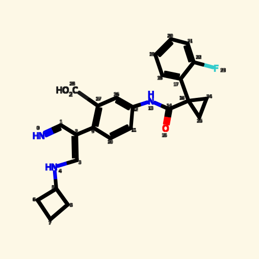 N=C/C(=C\NC1CCC1)c1ccc(NC(=O)C2(c3ccccc3F)CC2)cc1C(=O)O